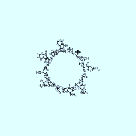 CCCC[C@H]1C(=O)N(C)[C@@H](CCCC)C(=O)N[C@@H](CO)C(=O)N[C@H](C(=O)NCC(N)=O)CSCC(=O)N[C@@H](Cc2ccc(OC)cc2)C(=O)N(C)[C@@H](C)C(=O)N[C@@H](CC(N)=O)C(=O)N2CCC[C@H]2C(=O)N[C@@H](CO)C(=O)N[C@@H](CCC(N)=O)C(=O)N2C[C@H](O)C[C@H]2C(=O)N[C@@H](Cc2c[nH]c3ccccc23)C(=O)N[C@@H](CO)C(=O)N[C@@H](Cc2c[nH]c3ccccc23)C(=O)N1C